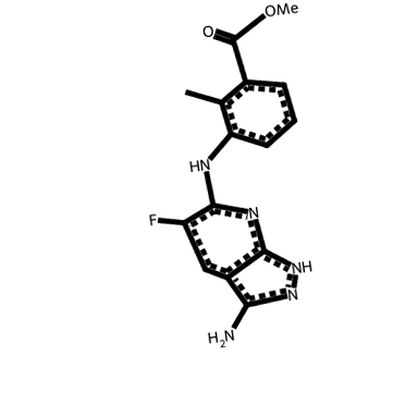 COC(=O)c1cccc(Nc2nc3[nH]nc(N)c3cc2F)c1C